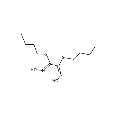 CCCCSC(=NO)C(=NO)SCCCC